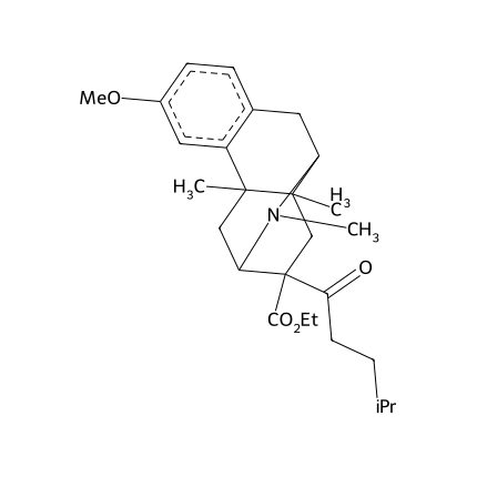 CCOC(=O)C1(C(=O)CCC(C)C)CC2(C)C3Cc4ccc(OC)cc4C2(C)CC1N3C